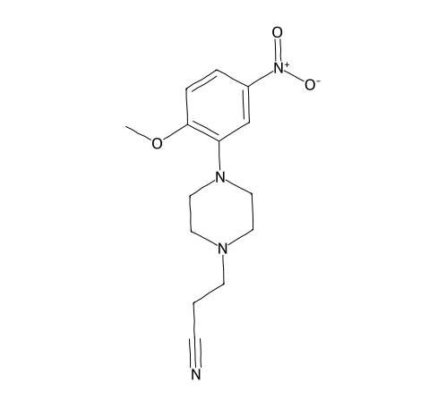 COc1ccc([N+](=O)[O-])cc1N1CCN(CCC#N)CC1